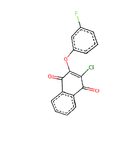 O=C1C(Cl)=C(Oc2cccc(F)c2)C(=O)c2ccccc21